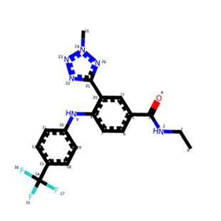 CCNC(=O)c1ccc(Nc2ccc(C(F)(F)F)cc2)c(-c2nnn(C)n2)c1